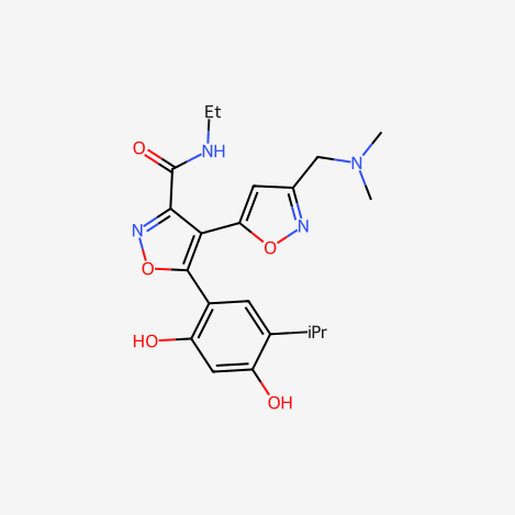 CCNC(=O)c1noc(-c2cc(C(C)C)c(O)cc2O)c1-c1cc(CN(C)C)no1